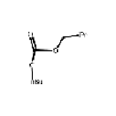 CCCCCC(=O)OC[C](C)C